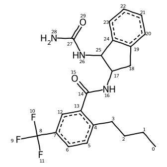 CCCCc1ccc(C(F)(F)F)cc1C(=O)NC1Cc2ccccc2C1NC(N)=O